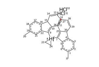 Cc1ccc2c(c1)[C]([Hf]1([C]3=C4C=CC=CC4c4ccc(C)cc43)[CH2][CH2]1)=C1C=CC=CC12.Cl.Cl